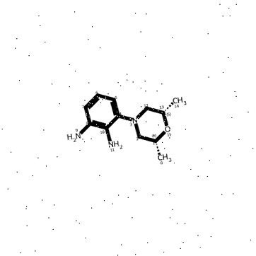 C[C@@H]1CN(c2cccc(N)c2N)C[C@H](C)O1